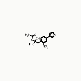 CC(C)(Cc1ccc(-c2ccsc2)cc1[N+](=O)[O-])OC(N)=O